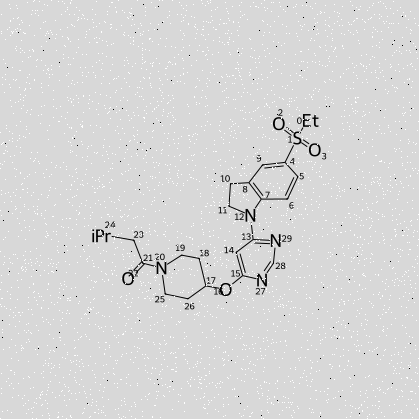 CCS(=O)(=O)c1ccc2c(c1)CCN2c1cc(OC2CCN(C(=O)CC(C)C)CC2)ncn1